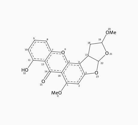 COc1cc2c(c3oc4cccc(O)c4c(=O)c13)C1CC(OC)OC1O2